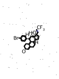 C[C@]12C[C@H](c3ccc(Br)cc3)C3=C4CCC(=O)C=C4CC[C@H]3[C@@H]1CC[C@@]2(O)/C=C/C(F)(F)F